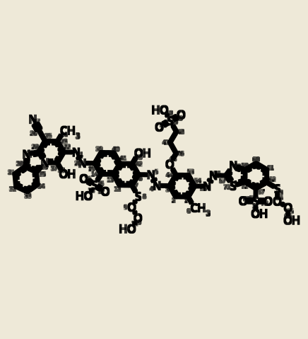 Cc1cc(N=Nc2c(SOOO)cc3c(S(=O)(=O)O)c(N=Nc4c(C)c(C#N)c5nc6ccccc6n5c4O)ccc3c2O)c(OCCCS(=O)(=O)O)cc1N=Nc1nc2ccc(SOOO)c(S(=O)(=O)O)c2s1